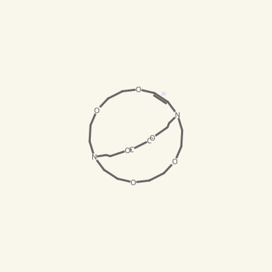 C1=C\N2CCOCCOCCN(CCOCCO/1)CCOCCOCC2